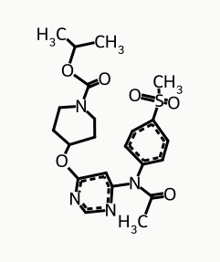 CC(=O)N(c1ccc(S(C)(=O)=O)cc1)c1cc(OC2CCN(C(=O)OC(C)C)CC2)ncn1